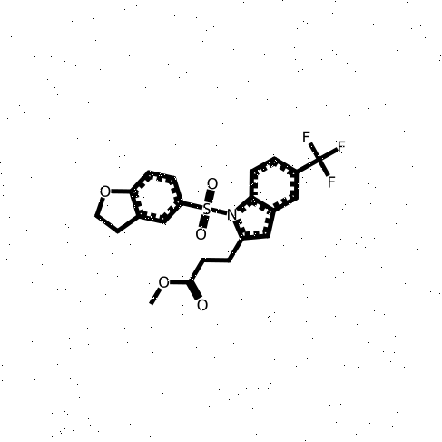 COC(=O)CCc1cc2cc(C(F)(F)F)ccc2n1S(=O)(=O)c1ccc2c(c1)CCO2